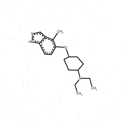 CCN(CC)C1CCC(Oc2ccc3[nH]ncc3c2C)CC1